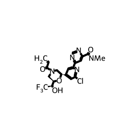 C=CC(=O)N1C[C@H](c2cc(Cl)nc(-c3cc(C(=O)NC)ncn3)c2)O[C@@H]([C@@H](O)C(F)(F)F)C1